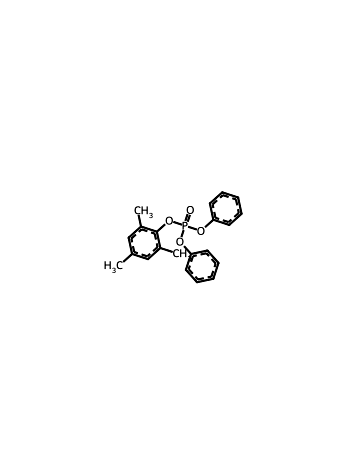 Cc1cc(C)c(OP(=O)(Oc2ccccc2)Oc2ccccc2)c(C)c1